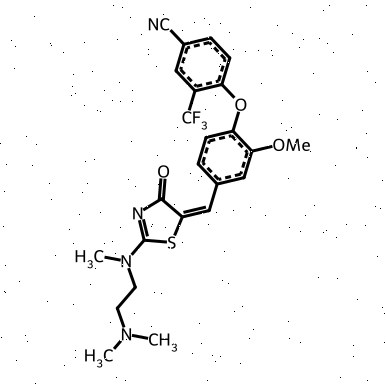 COc1cc(C=C2SC(N(C)CCN(C)C)=NC2=O)ccc1Oc1ccc(C#N)cc1C(F)(F)F